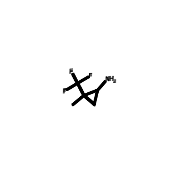 CC1(C(F)(F)F)CC1N